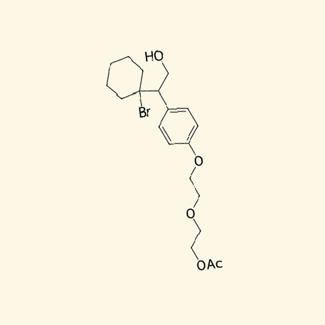 CC(=O)OCCOCCOc1ccc(C(CO)C2(Br)CCCCC2)cc1